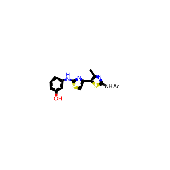 CC(=O)Nc1nc(C)c(-c2csc(Nc3cccc(O)c3)n2)s1